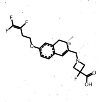 C[C@H]1Cc2cc(OCCC(F)=C(F)F)ccc2C=C1CN1CC(F)(C(=O)O)C1